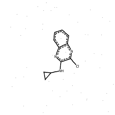 Clc1nc2ccccc2nc1NC1CC1